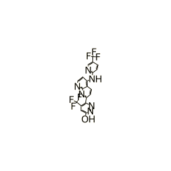 Oc1cc(C(F)(F)F)c(-c2ccc3c(Nc4ccc(C(F)(F)F)cn4)ccnc3n2)nn1